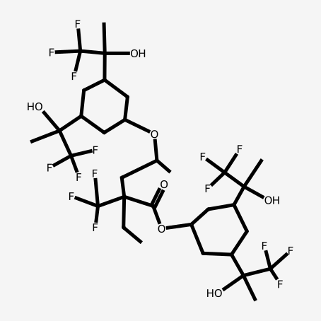 CCC(CC(C)OC1CC(C(C)(O)C(F)(F)F)CC(C(C)(O)C(F)(F)F)C1)(C(=O)OC1CC(C(C)(O)C(F)(F)F)CC(C(C)(O)C(F)(F)F)C1)C(F)(F)F